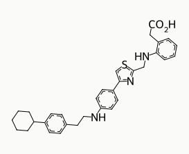 O=C(O)Cc1ccccc1NCc1nc(-c2ccc(NCCc3ccc(C4CCCCC4)cc3)cc2)cs1